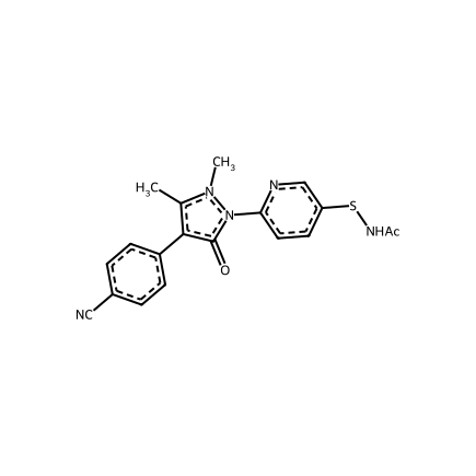 CC(=O)NSc1ccc(-n2c(=O)c(-c3ccc(C#N)cc3)c(C)n2C)nc1